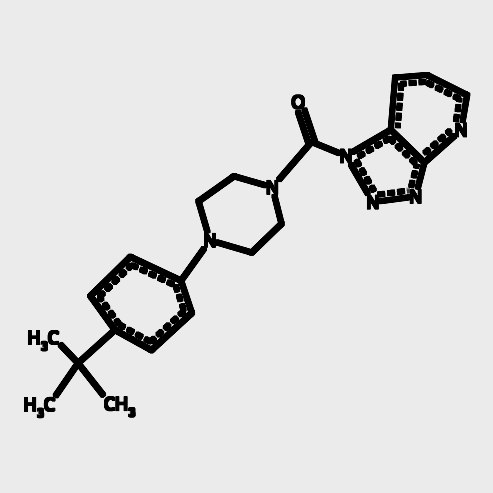 CC(C)(C)c1ccc(N2CCN(C(=O)n3nnc4ncccc43)CC2)cc1